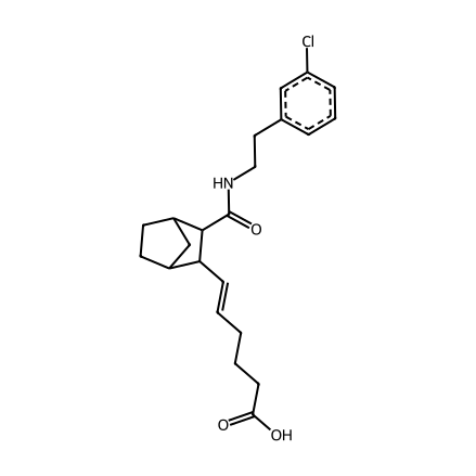 O=C(O)CCCC=CC1C2CCC(C2)C1C(=O)NCCc1cccc(Cl)c1